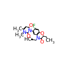 C#CCN1C(=O)C(CC)Oc2cc(F)c(-n3c(=O)cc(C)n(C)c3=O)cc21